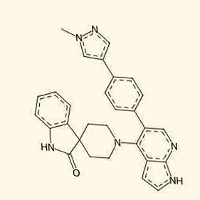 Cn1cc(-c2ccc(-c3cnc4[nH]ccc4c3N3CCC4(CC3)C(=O)Nc3ccccc34)cc2)cn1